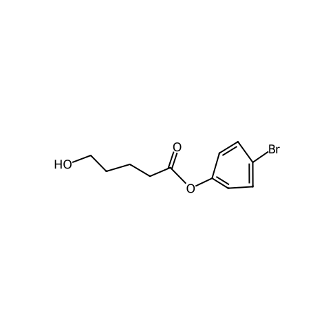 O=C(CCCCO)Oc1ccc(Br)cc1